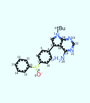 CC(C)(C)n1cc(-c2ccc([S+]([O-])c3ccccc3)cc2)c2c(N)ncnc21